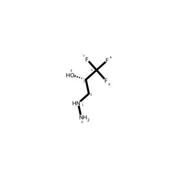 NNC[C@H](O)C(F)(F)F